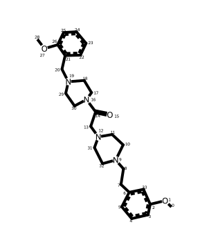 COc1cccc(CCN2CCN(CC(=O)N3CCN(Cc4ccccc4OC)CC3)CC2)c1